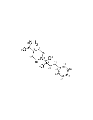 NC(=O)C1CCN(S(=O)(=O)CCc2ccccc2)CC1